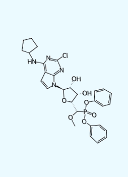 COC([C@@H]1O[C@@H](n2ccc3c(NC4CCCC4)nc(Cl)nc32)[C@H](O)[C@@H]1O)P(=O)(Oc1ccccc1)Oc1ccccc1